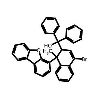 CC1(c2cccc3c2oc2ccccc23)c2ccccc2C(Br)=CC1C(O)(c1ccccc1)c1ccccc1